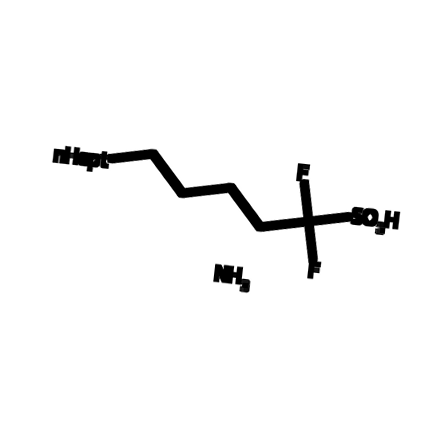 CCCCCCCCCCCC(F)(F)S(=O)(=O)O.N